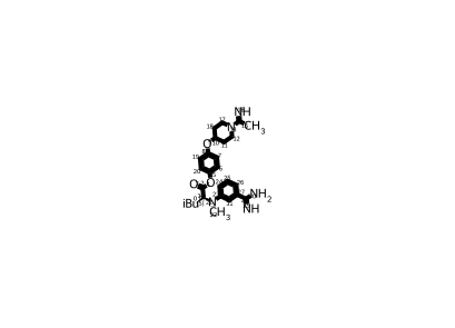 CC[C@H](C)[C@@H](C(=O)Oc1ccc(OC2CCN(C(C)=N)CC2)cc1)N(C)c1cccc(C(=N)N)c1